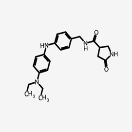 CCN(CC)c1ccc(Nc2ccc(CNC(=O)C3CNC(=O)C3)cc2)cc1